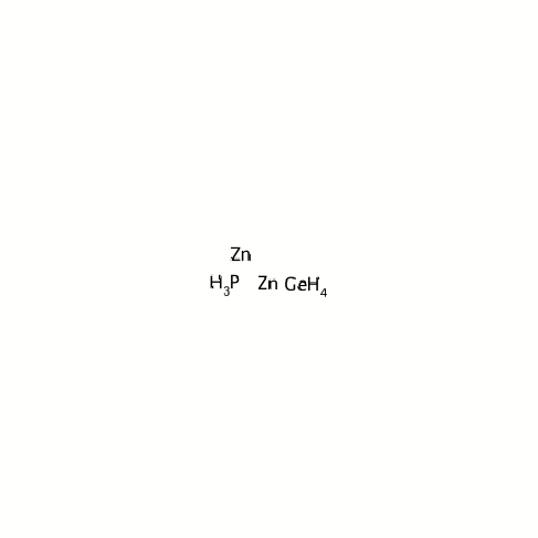 P.[GeH4].[Zn].[Zn]